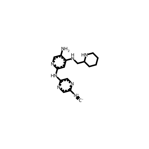 [C-]#[N+]c1cnc(Nc2cc(NCC3CCCCN3)c(N)cn2)cn1